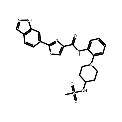 CS(=O)(=O)NC1CCN(c2ccccc2NC(=O)c2csc(-c3ccc4cn[nH]c4c3)n2)CC1